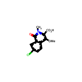 COc1c(C(=O)O)n(C)c(=O)c2cc(Cl)ccc12